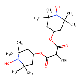 CCCCC(C(=O)OC1CC(C)(C)N(O)C(C)(C)C1)C(=O)OC1CC(C)(C)N(O)C(C)(C)C1